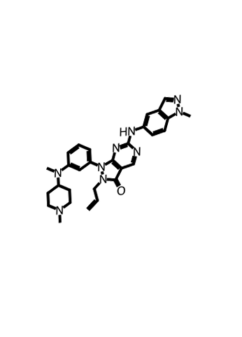 C=CCn1c(=O)c2cnc(Nc3ccc4c(cnn4C)c3)nc2n1-c1cccc(N(C)C2CCN(C)CC2)c1